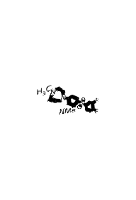 CNc1cc(N2CCCN(C)CC2)ccc1S(=O)(=O)c1ccc(F)c(F)c1